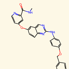 CNC(=O)c1cc(Oc2ccc3nc(Nc4ccc(OCc5ccccc5)cc4)ncc3c2)ccn1